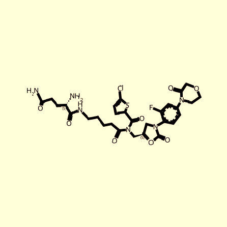 NC(=O)CC[C@H](N)C(=O)NCCCCC(=O)N(C[C@H]1CN(c2ccc(N3CCOCC3=O)cc2F)C(=O)O1)C(=O)C1CC=C(Cl)S1